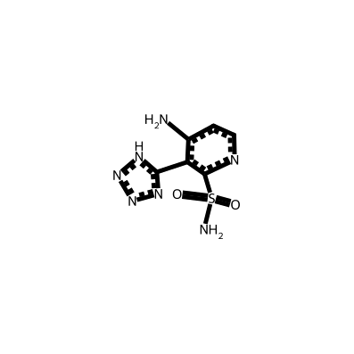 Nc1ccnc(S(N)(=O)=O)c1-c1nnn[nH]1